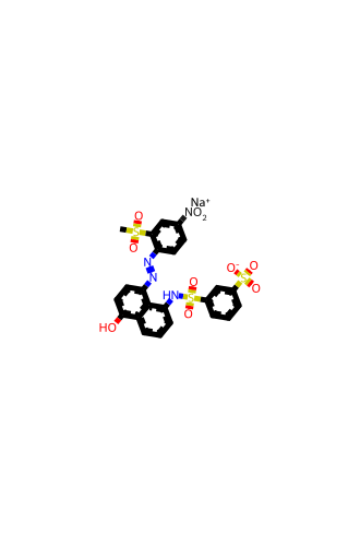 CS(=O)(=O)c1cc([N+](=O)[O-])ccc1N=Nc1ccc(O)c2cccc(NS(=O)(=O)c3cccc(S(=O)(=O)[O-])c3)c12.[Na+]